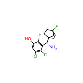 N[C@H](c1c(F)c(O)cc(Cl)c1Cl)C12CCC(F)(CC1)C2